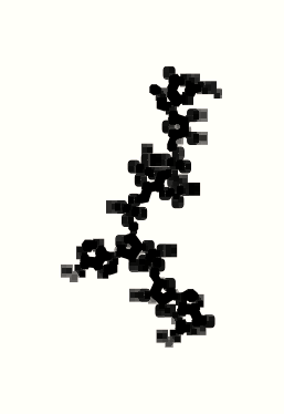 CO[C@@H]1[C@H](OP(=O)(O)OC[C@H]2O[C@@H](n3cnc4c(=O)[nH]c(N)nc43)[C@H](O)[C@@H]2O)[C@@H](COP(=O)(O)OCC(OP(=O)(O)O)C(COP(=O)(O)OC[C@H]2OC(n3c[n+](C)c4c(=O)[nH]c(N)nc43)[C@H](O)[C@@H]2O)OP(=O)(O)O)O[C@H]1n1cnc2c(N)ncnc21